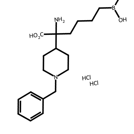 Cl.Cl.NC(CCCCB(O)O)(C(=O)O)C1CCN(Cc2ccccc2)CC1